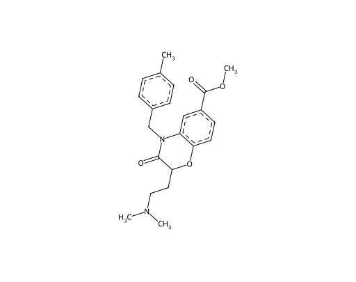 COC(=O)c1ccc2c(c1)N(Cc1ccc(C)cc1)C(=O)C(CCN(C)C)O2